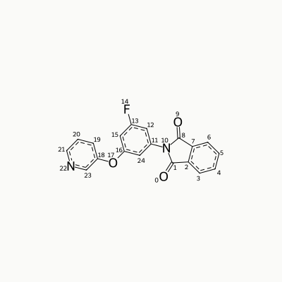 O=C1c2ccccc2C(=O)N1c1cc(F)cc(Oc2cccnc2)c1